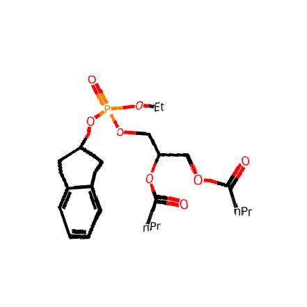 CCCC(=O)OCC(COP(=O)(OCC)OC1Cc2ccccc2C1)OC(=O)CCC